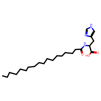 CCCCCCCCCCCCCCCCCC(=O)NC(Cc1c[nH]cn1)C(=O)O